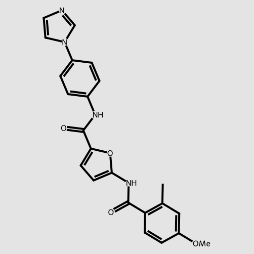 COc1ccc(C(=O)Nc2ccc(C(=O)Nc3ccc(-n4ccnc4)cc3)o2)c(C)c1